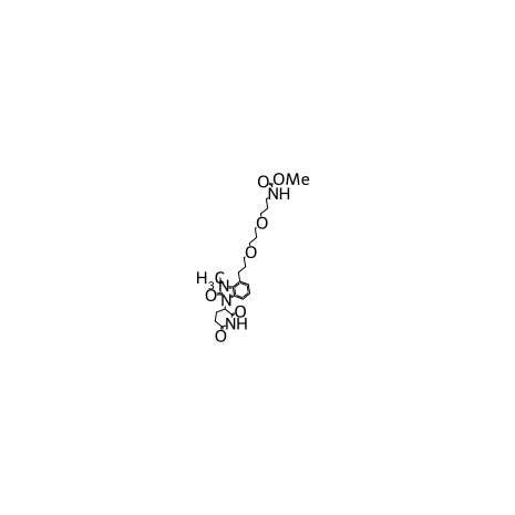 COC(=O)NCCCOCCCOCCCc1cccc2c1n(C)c(=O)n2C1CCC(=O)NC1=O